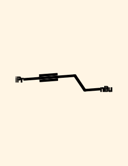 CCCCCCC#CC(C)C